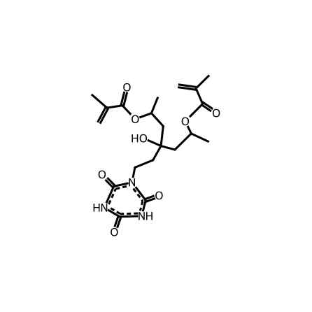 C=C(C)C(=O)OC(C)CC(O)(CCn1c(=O)[nH]c(=O)[nH]c1=O)CC(C)OC(=O)C(=C)C